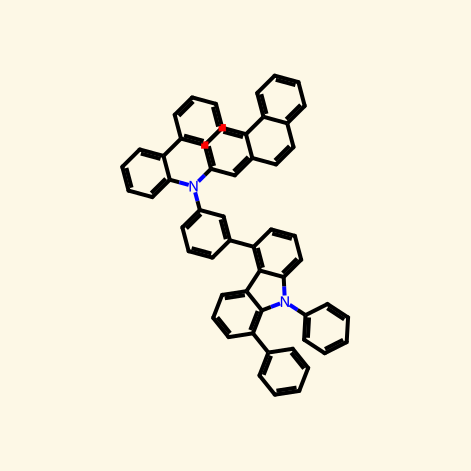 c1ccc(-c2ccccc2N(c2cccc(-c3cccc4c3c3cccc(-c5ccccc5)c3n4-c3ccccc3)c2)c2ccc3c(ccc4ccccc43)c2)cc1